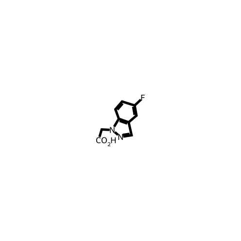 O=C(O)Cn1ncc2cc(F)ccc21